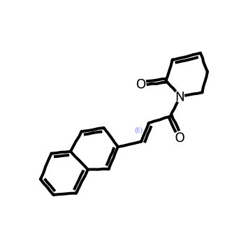 O=C1C=CCCN1C(=O)/C=C/c1ccc2ccccc2c1